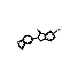 CCCc1ccc2c(c1)C(=O)N(c1ccc3sccc3c1)C2